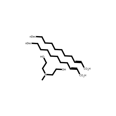 CCCCCCCCCCCCCCCCCC=CC(=O)O.CCCCCCCCCCCCCCCCCC=CC(=O)O.CN(CCO)CCO